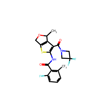 CC1OCc2sc(NC(=O)c3c(F)cccc3C(F)(F)F)c(C(=O)N3CC(F)(F)C3)c21